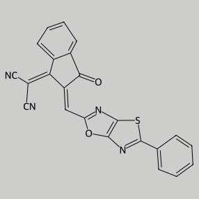 N#CC(C#N)=C1/C(=C/c2nc3sc(-c4ccccc4)nc3o2)C(=O)c2ccccc21